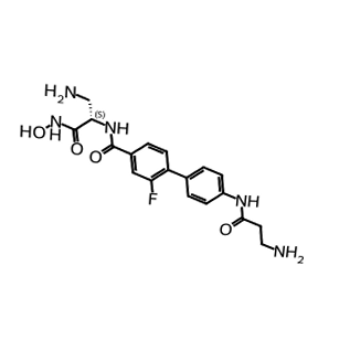 NCCC(=O)Nc1ccc(-c2ccc(C(=O)N[C@@H](CN)C(=O)NO)cc2F)cc1